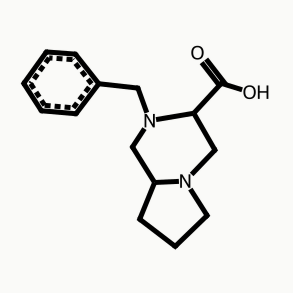 O=C(O)C1CN2CCCC2CN1Cc1ccccc1